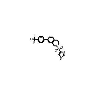 Cn1cnc(S(=O)(=O)N2CCc3ccc(-c4ccc(C(F)(F)F)cc4)cc3C2)c1